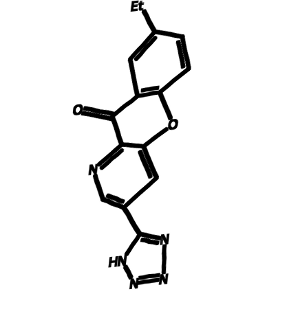 CCc1ccc2oc3cc(-c4nnn[nH]4)cnc3c(=O)c2c1